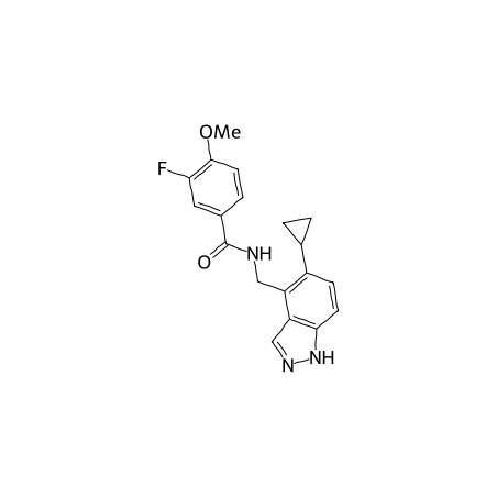 COc1ccc(C(=O)NCc2c(C3CC3)ccc3[nH]ncc23)cc1F